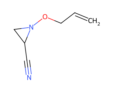 C=CCON1CC1C#N